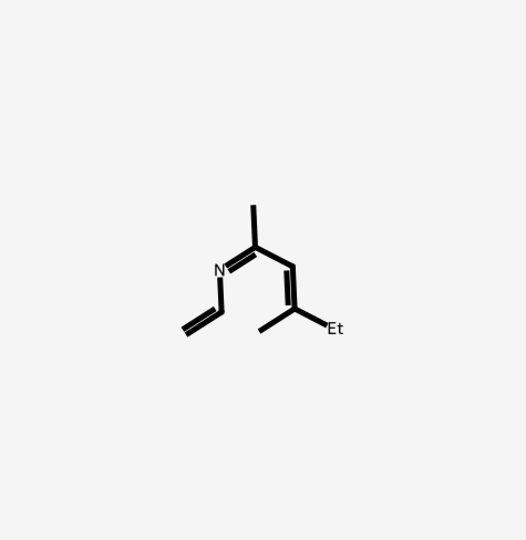 C=C/N=C(C)\C=C(/C)CC